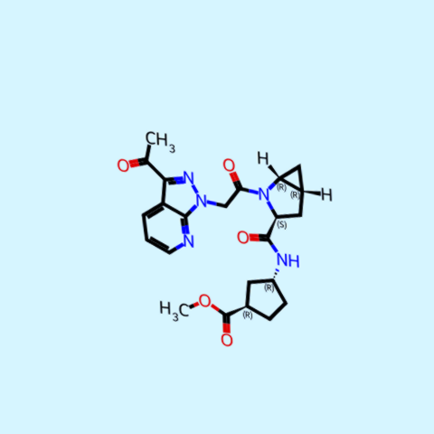 COC(=O)[C@@H]1CC[C@@H](NC(=O)[C@@H]2C[C@H]3C[C@H]3N2C(=O)Cn2nc(C(C)=O)c3cccnc32)C1